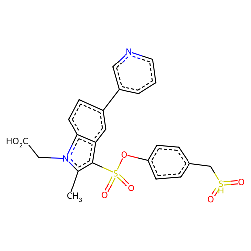 Cc1c(S(=O)(=O)Oc2ccc(C[SH](=O)=O)cc2)c2cc(-c3cccnc3)ccc2n1CC(=O)O